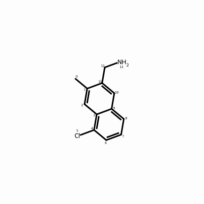 Cc1cc2c(Cl)cccc2cc1CN